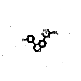 NC(N)=NC(=O)c1ccc2c(c1)C(c1cccc(F)c1)=CCO2